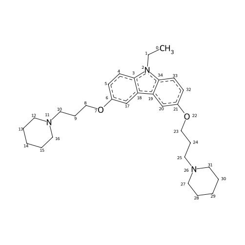 CCn1c2ccc(OCCCN3CCCCC3)cc2c2cc(OCCCN3CCCCC3)ccc21